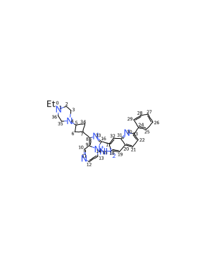 CCN1CCN(C2CC(C3=C4C=NC=C[N+]4(N)C(c4ccc5ccc(-c6ccccc6)nc5c4)=N3)C2)CC1